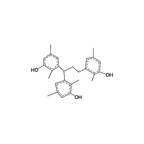 Cc1cc(O)c(C)c(CCC(c2cc(C)cc(O)c2C)c2cc(C)cc(O)c2C)c1